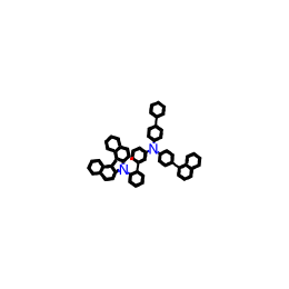 c1ccc(-c2ccc(N(c3ccc(-c4cccc5ccccc45)cc3)c3cccc(-c4ccccc4-n4c5ccc6ccccc6c5c5c6ccccc6ccc54)c3)cc2)cc1